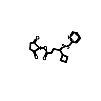 O=C(CCC(SSc1ccccn1)C1CCC1)ON1C(=O)CCC1=O